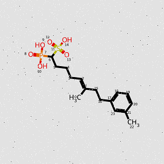 C/C(=C\CCCC(P(=O)(O)O)S(=O)(=O)O)CCc1cccc(C)c1